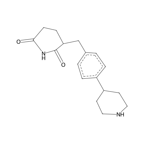 O=C1CCC(Cc2ccc(C3CCNCC3)cc2)C(=O)N1